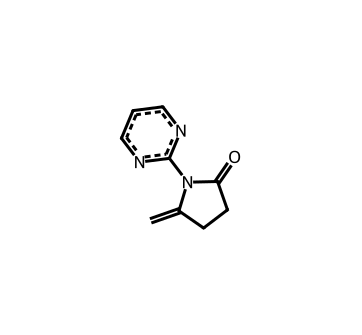 C=C1CCC(=O)N1c1ncccn1